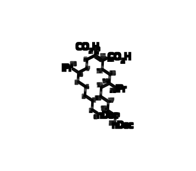 CCCCCCCCCCCCCCCC(CCC(C(=O)O)=C(CCC(CCCCCCCCCCCCCCC)C(C)C)C(=O)O)C(C)C